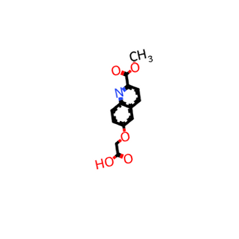 COC(=O)c1ccc2cc(OCC(=O)O)ccc2n1